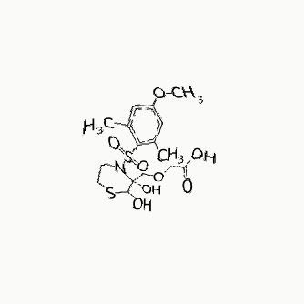 COc1cc(C)c(S(=O)(=O)N2CCSC(O)C2(O)COCC(=O)O)c(C)c1